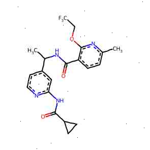 Cc1ccc(C(=O)NC(C)c2ccnc(NC(=O)C3CC3)c2)c(OCC(F)(F)F)n1